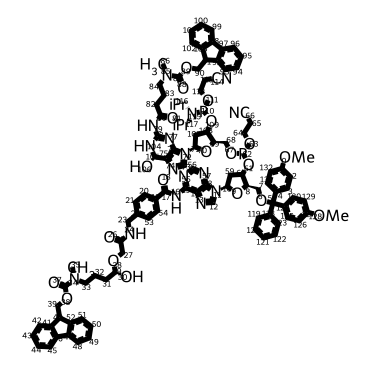 COc1ccc(C(OC[C@H]2O[C@@H](n3cnc4c(NC(=O)c5ccc(CNC(=O)CO[C@@H](O)CCCN(C)C(=O)OCC6c7ccccc7-c7ccccc76)cc5)ncnc43)CC2OP(OCCC#N)OC[C@H]2O[C@@H](n3cnc4c3N=C(NC(=O)CCCN(C)C(=O)OCC3c5ccccc5-c5ccccc53)N[C@@H]4O)CC2OP(OCCC#N)N(C(C)C)C(C)C)(c2ccccc2)c2ccc(OC)cc2)cc1